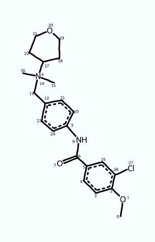 COc1ccc(C(=O)Nc2ccc(C[N+](C)(C)C3CCOCC3)cc2)cc1Cl